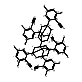 C#Cc1c(C)cc(C)cc1C12CC3CC(c4cc(C)cc(C)c4C#C)(C1)CC(C14CC5(c6cc(C)cc(C)c6C#C)CC(c6cc(C)cc(C)c6C#C)(CC(c6cc(C)cc(C)c6C#C)(C5)C1)C4)(C3)C2